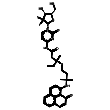 CCC(C)(CC(=O)Nc1ccn([C@H]2O[C@@H](CO)[C@@H](O)C2(F)F)c(=O)n1)OCCC(C)(C)Nc1ccc2cccc3c2c1C(=O)C=C3